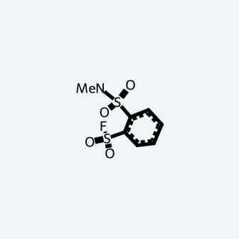 CNS(=O)(=O)c1ccccc1S(=O)(=O)F